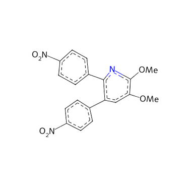 COc1cc(-c2ccc([N+](=O)[O-])cc2)c(-c2ccc([N+](=O)[O-])cc2)nc1OC